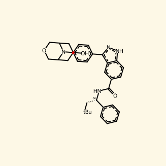 CC(C)(C)C[C@H](NC(=O)c1ccc2[nH]nc(-c3ccc(N4C5COCC4CC(O)C5)cc3)c2c1)c1ccccc1